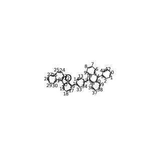 c1ccc(-c2c3ccccc3c(-c3ccc(-c4cccc5c4oc4ccc6ccccc6c45)cc3)c3ccccc23)cc1